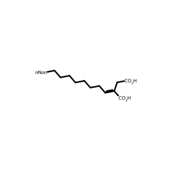 CCCCCCCCCCCCCCCCC=C(CC(=O)O)C(=O)O